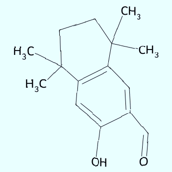 CC1(C)CCC(C)(C)c2cc(C=O)c(O)cc21